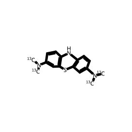 [13CH3]N([13CH3])c1ccc2c(c1)Sc1cc(N([13CH3])[13CH3])ccc1N2